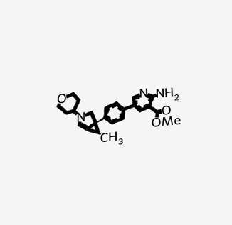 COC(=O)c1cc(-c2ccc([C@]34CN(C5CCOCC5)C=C3[C@H]4C)cc2)cnc1N